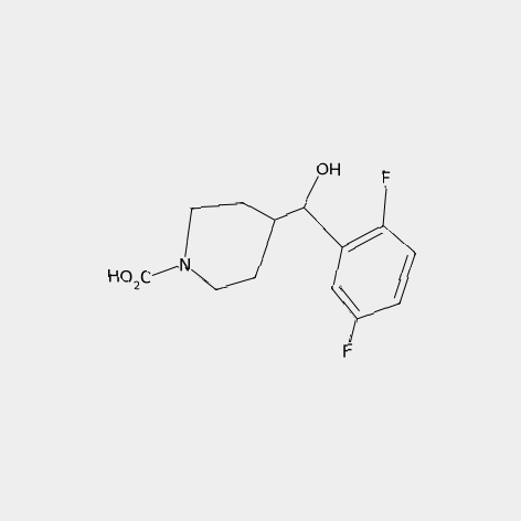 O=C(O)N1CCC(C(O)c2cc(F)ccc2F)CC1